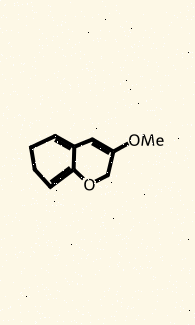 COC1=CC2=CCCC=C2OC1